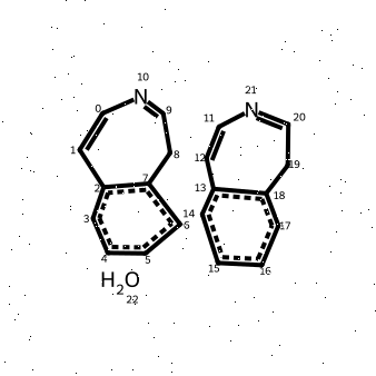 C1=Cc2ccccc2CC=N1.C1=Cc2ccccc2CC=N1.O